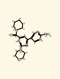 Nc1ncc(-c2cc(C(=O)N3CCCCC3)nc(N3CCOCC3)n2)cn1